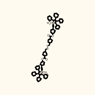 C[Si]1(C#Cc2ccc(OC(=O)c3ccc(CSSCc4ccc(C(=O)Oc5ccc(C#C[Si]6(C)C(c7ccccc7)=C(c7ccccc7)C(c7ccccc7)=C6c6ccccc6)cc5)cc4)cc3)cc2)C(c2ccccc2)=C(c2ccccc2)C(c2ccccc2)=C1c1ccccc1